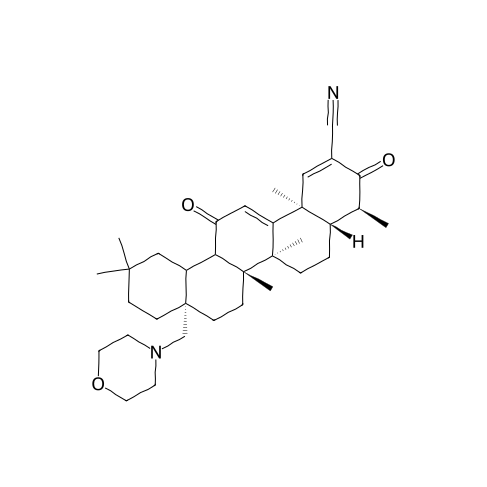 C[C@@H]1C(=O)C(C#N)=C[C@]2(C)C3=CC(=O)C4C5CC(C)(C)CC[C@]5(CN5CCOCC5)CC[C@@]4(C)[C@]3(C)CC[C@@H]12